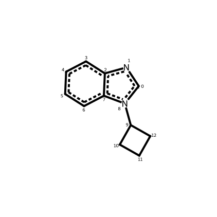 [c]1nc2ccccc2n1C1CCC1